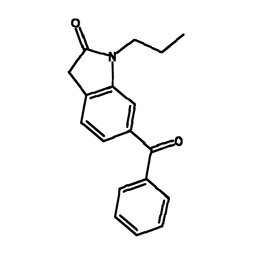 CCCN1C(=O)Cc2ccc(C(=O)c3ccccc3)cc21